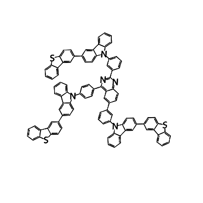 c1cc(-c2ccc3nc(-c4cccc(-n5c6ccccc6c6cc(-c7ccc8sc9ccccc9c8c7)ccc65)c4)nc(-c4ccc(-n5c6ccccc6c6cc(-c7ccc8sc9ccccc9c8c7)ccc65)cc4)c3c2)cc(-n2c3ccccc3c3cc(-c4ccc5sc6ccccc6c5c4)ccc32)c1